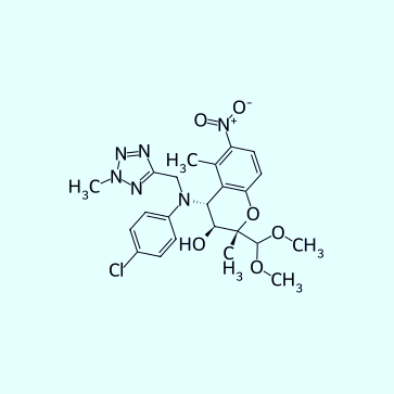 COC(OC)[C@@]1(C)Oc2ccc([N+](=O)[O-])c(C)c2[C@@H](N(Cc2nnn(C)n2)c2ccc(Cl)cc2)[C@@H]1O